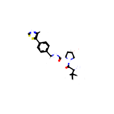 Cc1ncsc1-c1ccc([C@H](C)NC(=O)[C@@H]2C[C@@H](O)CN2C(=O)[C@@H](N)C(C)(C)C)cc1.Cl